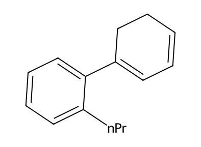 CCCc1ccccc1C1=CC=CCC1